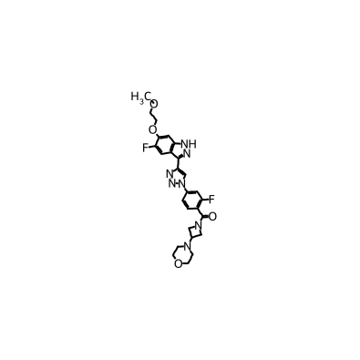 COCCOc1cc2[nH]nc(-c3cn(-c4ccc(C(=O)N5CC(N6CCOCC6)C5)c(F)c4)nn3)c2cc1F